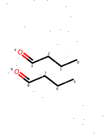 CCCC=O.CCCC=O